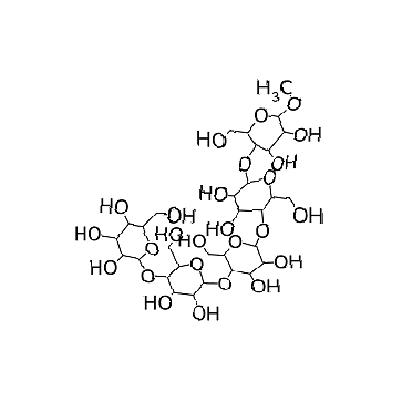 COC1OC(CO)C(OC2OC(CO)C(OC3OC(CO)C(OC4OC(CO)C(OC5OC(CO)C(O)C(O)C5O)C(O)C4O)C(O)C3O)C(O)C2O)C(O)C1O